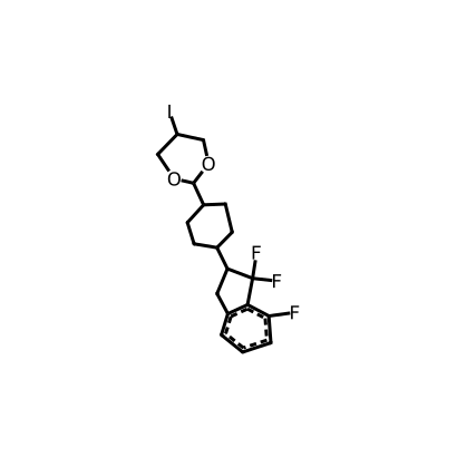 Fc1cccc2c1C(F)(F)C(C1CCC(C3OCC(I)CO3)CC1)C2